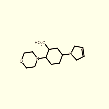 O=C(O)C1CC(N2CC=CC2)CCC1N1CCOCC1